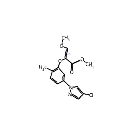 CO/C=C(\Oc1cc(-n2cc(Cl)cn2)ccc1C)C(=O)OC